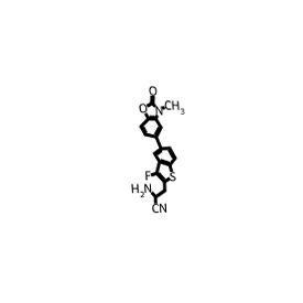 Cn1c(=O)oc2ccc(-c3ccc4sc(CC(N)C#N)c(F)c4c3)cc21